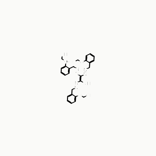 CCOc1ccccc1CN=NC([SiH3])=C(N=NCc1ccccc1OCC)N=NCc1ccccc1OCC